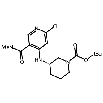 CNC(=O)c1cnc(Cl)cc1N[C@H]1CCCN(C(=O)OC(C)(C)C)C1